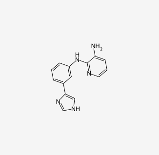 Nc1cccnc1Nc1cccc(-c2c[nH]cn2)c1